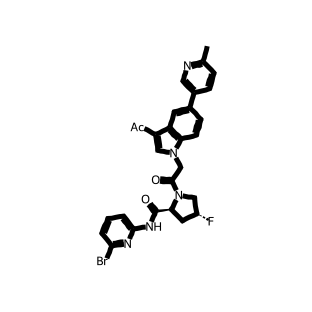 CC(=O)c1cn(CC(=O)N2C[C@H](F)C[C@H]2C(=O)Nc2cccc(Br)n2)c2ccc(-c3ccc(C)nc3)cc12